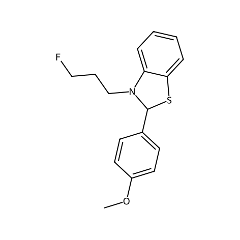 COc1ccc(C2Sc3ccccc3N2CCCF)cc1